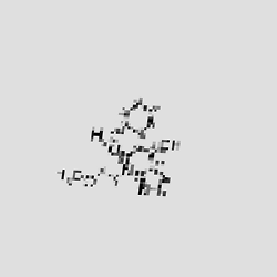 COCCn1c(=O)c(-c2ccccc2C)c(O)c2scnc21